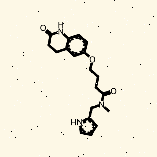 CN(Cc1ccc[nH]1)C(=O)CCCOc1ccc2c(c1)CCC(=O)N2